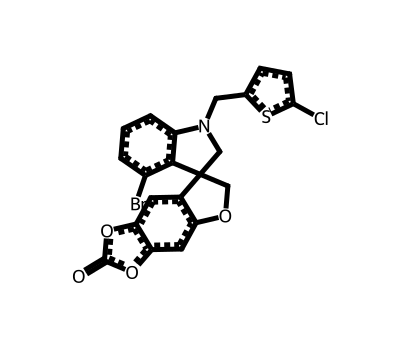 O=c1oc2cc3c(cc2o1)C1(CO3)CN(Cc2ccc(Cl)s2)c2cccc(Br)c21